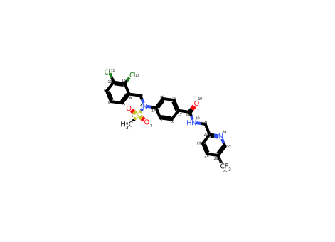 CS(=O)(=O)N(Cc1cccc(Cl)c1Cl)c1ccc(C(=O)NCc2ccc(C(F)(F)F)cn2)cc1